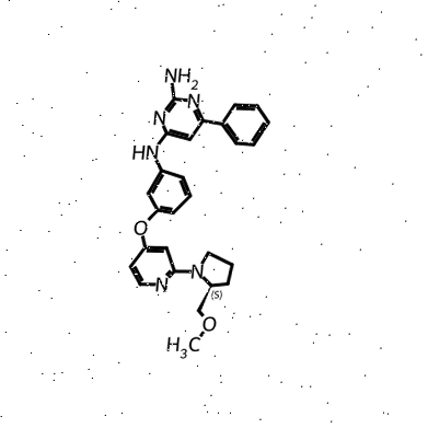 COC[C@@H]1CCCN1c1cc(Oc2cccc(Nc3cc(-c4ccccc4)nc(N)n3)c2)ccn1